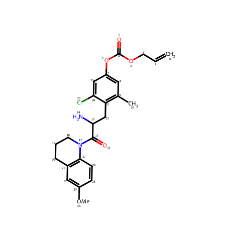 C=CCOC(=O)Oc1cc(C)c(CC(N)C(=O)N2CCCc3cc(OC)ccc32)c(Cl)c1